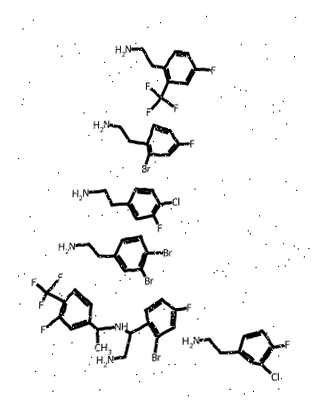 CC(NC(CN)c1ccc(F)cc1Br)c1ccc(C(F)(F)F)c(F)c1.NCCc1ccc(Br)c(Br)c1.NCCc1ccc(Cl)c(F)c1.NCCc1ccc(F)c(Cl)c1.NCCc1ccc(F)cc1Br.NCCc1ccc(F)cc1C(F)(F)F